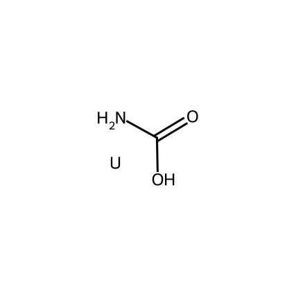 NC(=O)O.[U]